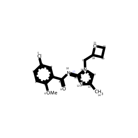 COc1ccc(Cl)cc1C(=O)/N=c1\sc(C)cn1CC1CCO1